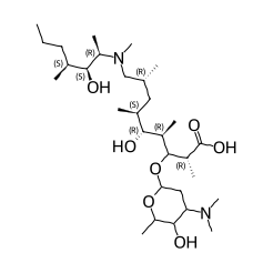 CCC[C@H](C)[C@H](O)[C@@H](C)N(C)C[C@H](C)C[C@H](C)[C@@H](O)[C@@H](C)C(OC1CC(N(C)C)C(O)C(C)O1)[C@@H](C)C(=O)O